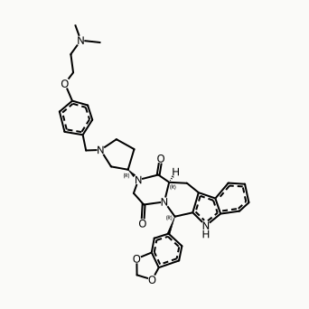 CN(C)CCOc1ccc(CN2CC[C@@H](N3CC(=O)N4[C@H](c5ccc6c(c5)OCO6)c5[nH]c6ccccc6c5C[C@@H]4C3=O)C2)cc1